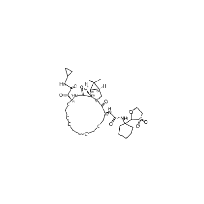 CC1(C)[C@@H]2[C@H]3C(=O)N[C@H](C(=O)C(=O)NC4CC4)CCCCCCCCCC[C@H](NC(=O)NC4(C5OCCS5(=O)=O)CCCCC4)C(=O)N3C[C@@H]21